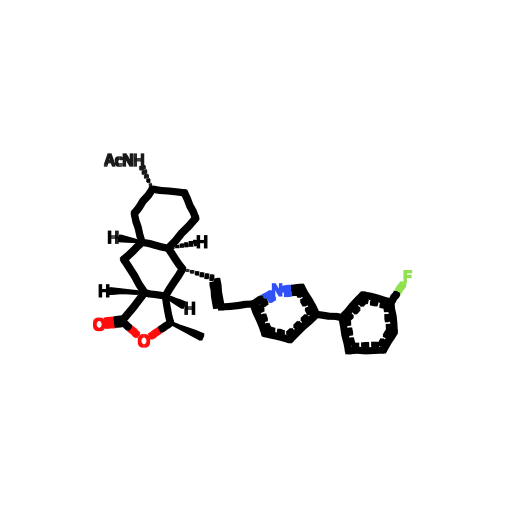 CC(=O)N[C@@H]1CC[C@@H]2[C@@H](C1)C[C@H]1C(=O)O[C@H](C)[C@H]1[C@H]2/C=C/c1ccc(-c2cccc(F)c2)cn1